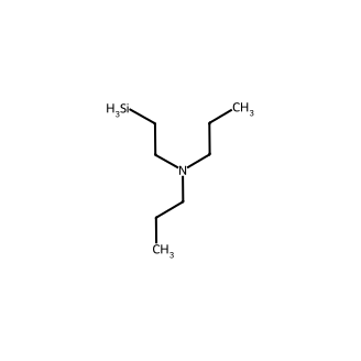 CCCN(CCC)CC[SiH3]